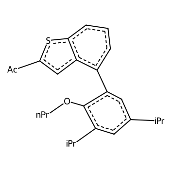 CCCOc1c(-c2cccc3sc(C(C)=O)cc23)cc(C(C)C)cc1C(C)C